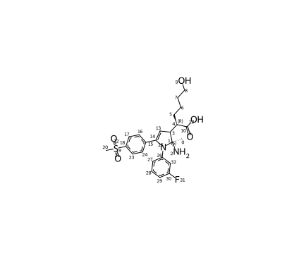 C[C@@]1(N)C([C@@H](CCCCO)C(=O)O)C=C(c2ccc(S(C)(=O)=O)cc2)N1c1cccc(F)c1